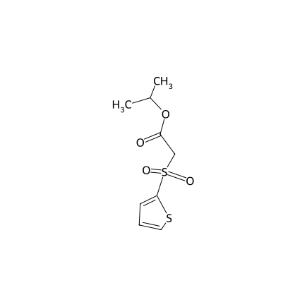 CC(C)OC(=O)CS(=O)(=O)c1cccs1